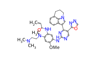 C=CC(=O)Nc1cc(Nc2ncc(-c3nnco3)c(-c3cn4c5c(cccc35)CCC4)n2)c(OC)cc1N(C)CCN(C)C